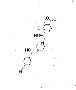 Cc1c(C(O)CN2CCN(CC(O)c3ccc(C#N)cc3)CC2)ccc2c1COC2=O